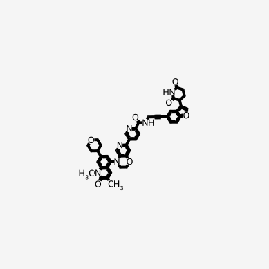 Cc1cc2c(N3CCOc4cc(-c5ccc(C(=O)NCC#Cc6ccc7occ(C8CCC(=O)NC8=O)c7c6)nc5)ncc43)cc(C3CCOCC3)cc2n(C)c1=O